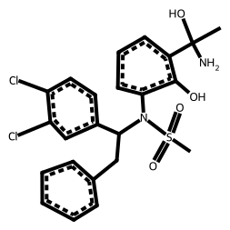 CC(N)(O)c1cccc(N(C(Cc2ccccc2)c2ccc(Cl)c(Cl)c2)S(C)(=O)=O)c1O